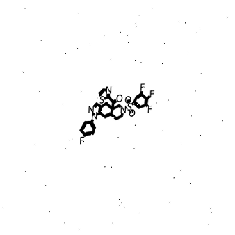 O=C(c1nccs1)C12Cc3cnn(-c4ccc(F)cc4)c3C=C1CCN(S(=O)(=O)c1cc(F)c(F)c(F)c1)C2